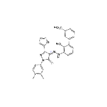 Cc1ccc(N2N=C(c3ccco3)/C(=N/Nc3cccc(-c4cccc(C(=O)O)c4)c3O)C2=O)cc1C